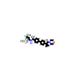 CC(C)(F)C[C@H](N[C@@H](c1ccc(-c2ccc(C3(C(=O)N4CCOCC4)CC3)cc2)cc1)C(F)(F)F)C(=O)O